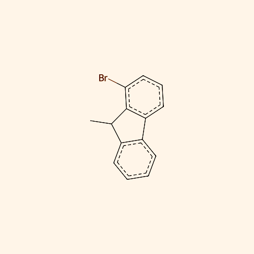 CC1c2ccccc2-c2cccc(Br)c21